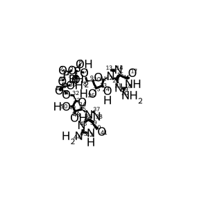 BP(=O)(OP(=O)(O)OC[C@H]1O[C@@H](n2cnc3c(=O)[nH]c(N)nc32)C(O)C1O)OP(=O)(O)OC[C@H]1O[C@@H](n2cnc3c(=O)[nH]c(N)nc32)C(O)C1O